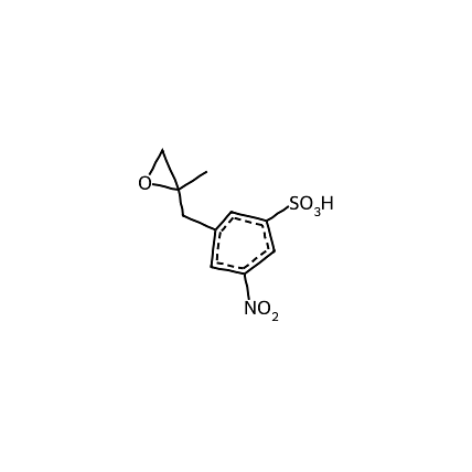 CC1(Cc2cc([N+](=O)[O-])cc(S(=O)(=O)O)c2)CO1